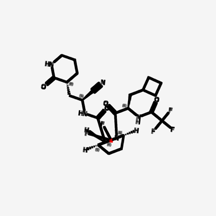 N#C[C@H](C[C@H]1CCCNC1=O)NC(=O)[C@H]1[C@@H]2CC[C@@H](CC2(F)F)N1C(=O)[C@@H](CC1CCC1)NC(=O)C(F)(F)F